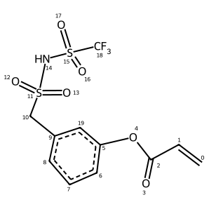 C=CC(=O)Oc1cccc(CS(=O)(=O)NS(=O)(=O)C(F)(F)F)c1